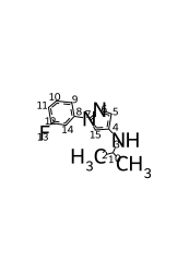 CC(C)Nc1cnn(-c2cccc(F)c2)c1